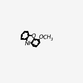 COc1ccccc1Oc1ccccc1N